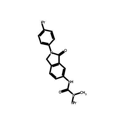 CCCN(C)C(=O)Nc1ccc2c(c1)C(=O)N(c1ccc(C(C)C)cc1)C2